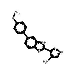 COc1ccc(-c2ccc3nc(-c4n[nH]cc4N)[nH]c3c2)cc1